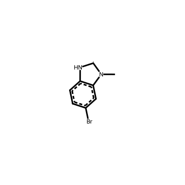 CN1[CH]Nc2ccc(Br)cc21